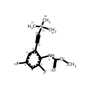 COC(=O)Nc1c(F)cc(F)cc1C#C[Si](C)(C)C